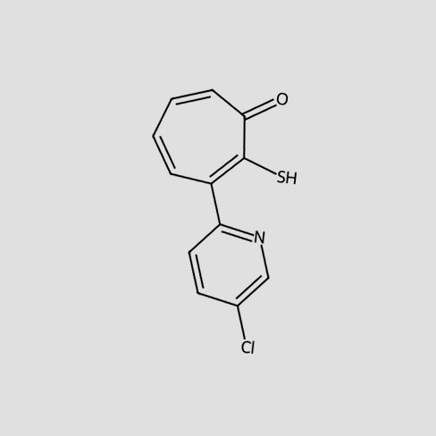 O=c1ccccc(-c2ccc(Cl)cn2)c1S